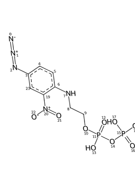 [N-]=[N+]=Nc1ccc(NCCOP(=O)(O)OP(=O)(O)O)c([N+](=O)[O-])c1